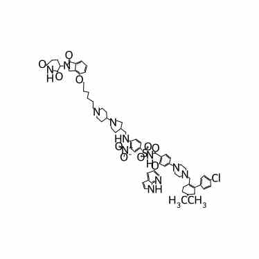 CC1(C)CCC(CN2CCN(c3ccc(C(=O)NS(=O)(=O)c4ccc(NCC5CCN(C6CCN(CCCCCCOc7cccc8c7CN(C7CCC(=O)NC7=O)C8=O)CC6)CC5)c([N+](=O)[O-])c4)c(Oc4cnc5[nH]ccc5c4)c3)CC2)=C(c2ccc(Cl)cc2)C1